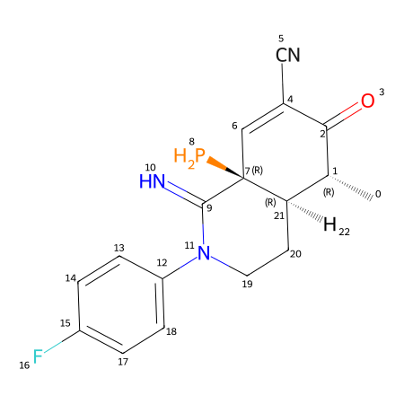 C[C@H]1C(=O)C(C#N)=C[C@@]2(P)C(=N)N(c3ccc(F)cc3)CC[C@H]12